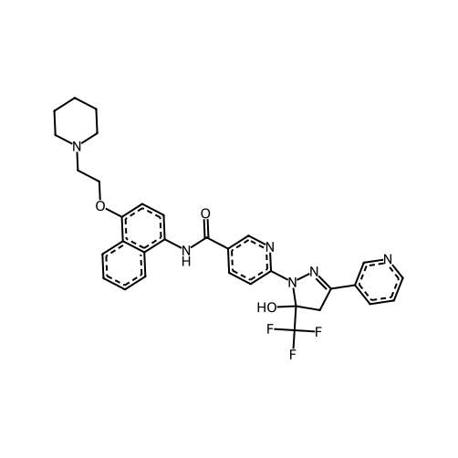 O=C(Nc1ccc(OCCN2CCCCC2)c2ccccc12)c1ccc(N2N=C(c3cccnc3)CC2(O)C(F)(F)F)nc1